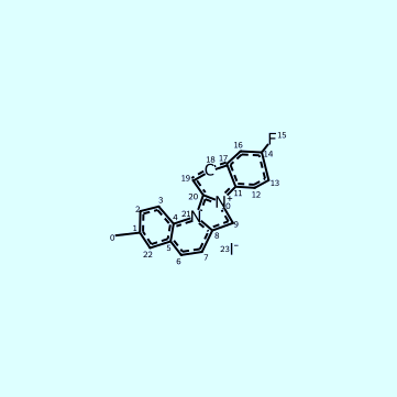 Cc1ccc2c(ccc3c[n+]4c5ccc(F)cc5ccc4n32)c1.[I-]